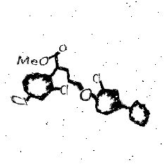 COC(=O)C(CCCOc1ccc(-c2ccccc2)cc1Cl)c1ccc(Cl)cc1Cl